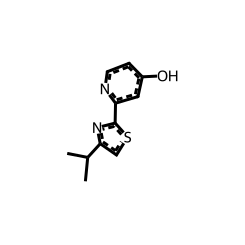 CC(C)c1csc(-c2cc(O)ccn2)n1